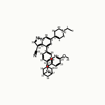 CCN1CC=C(c2cc(-c3ccc(N4CC5CC(C4)N5Cc4ccc(OC)nc4)nc3)c3c(C#N)cnn3c2)CC1